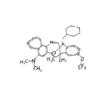 CN(C)c1cc2c(c3ccccc13)N=CC1(O2)N(CC2CCCCC2)c2ccc(OC(F)(F)F)cc2C1(C)C